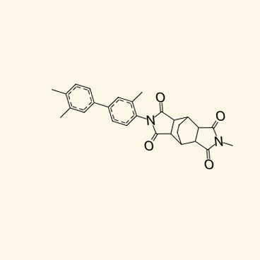 Cc1ccc(-c2ccc(N3C(=O)C4C5CCC(C6C(=O)N(C)C(=O)C56)C4C3=O)c(C)c2)cc1C